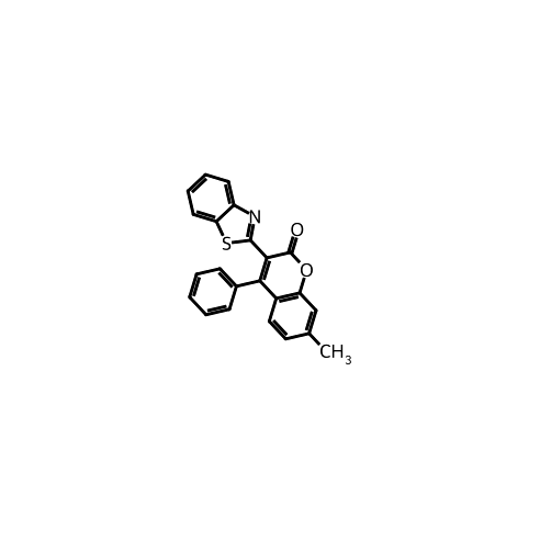 Cc1ccc2c(-c3ccccc3)c(-c3nc4ccccc4s3)c(=O)oc2c1